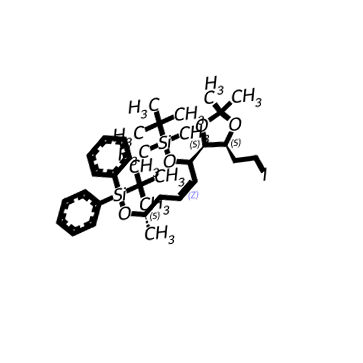 C[C@@H](C/C=C\C(O[Si](C)(C)C(C)(C)C)[C@H]1OC(C)(C)O[C@H]1CCI)O[Si](c1ccccc1)(c1ccccc1)C(C)(C)C